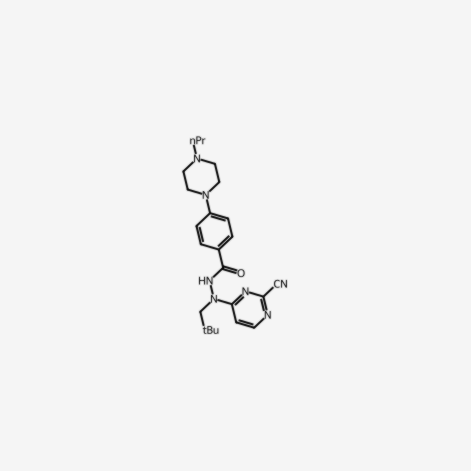 CCCN1CCN(c2ccc(C(=O)NN(CC(C)(C)C)c3ccnc(C#N)n3)cc2)CC1